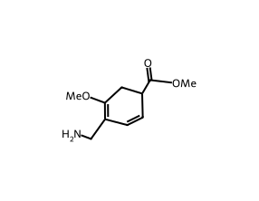 COC(=O)C1C=CC(CN)=C(OC)C1